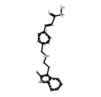 Cc1[nH]c2ccccc2c1CCNCc1ccc(C=CC(=O)NO)cc1